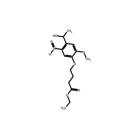 CCOC(=O)CCCOc1cc([N+](=O)[O-])c(C(C)O)cc1OC